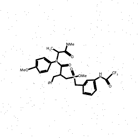 CNC(=O)C(C)N(C(=O)C(CC(C)C)CP(=O)(Cc1cccc(NC(=O)C(F)(F)F)c1)OC)c1ccc(OC)cc1